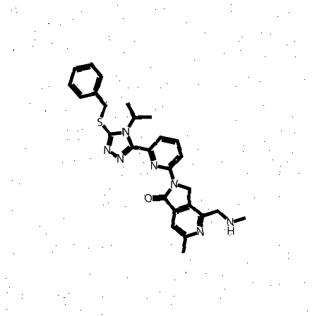 CNCc1nc(C)cc2c1CN(c1cccc(-c3nnc(SCc4ccccc4)n3C(C)C)n1)C2=O